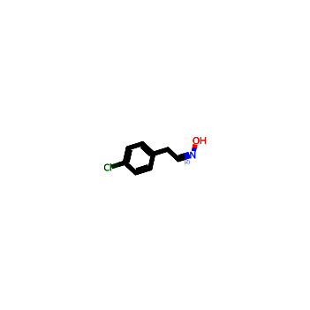 O/N=C\Cc1ccc(Cl)cc1